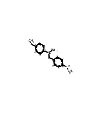 COc1ccc(N(N)Cc2ccc(SC)cc2)cc1